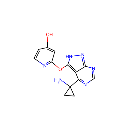 NC1(c2ncnc3n[nH]c(Oc4cc(O)ccn4)c23)CC1